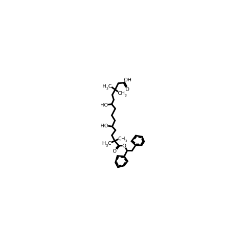 CC(C)(CCC(O)CCCC(O)CCC(C)(C)C(=O)OC(Cc1ccccc1)c1ccccc1)CC(=O)O